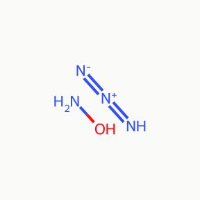 NO.[N-]=[N+]=N